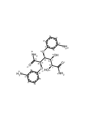 NC(=O)[C@@H](O)[C@H](O)[C@H](Oc1cccc(N)c1)[C@@H](Oc1cccc(N)c1)C(N)=O